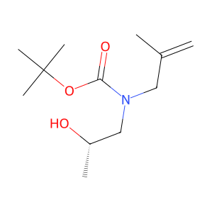 C=C(C)CN(C[C@H](C)O)C(=O)OC(C)(C)C